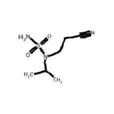 CC(C)N(CCC#N)S(N)(=O)=O